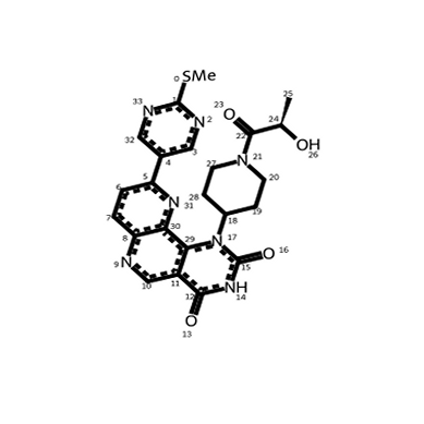 CSc1ncc(-c2ccc3ncc4c(=O)[nH]c(=O)n(C5CCN(C(=O)[C@@H](C)O)CC5)c4c3n2)cn1